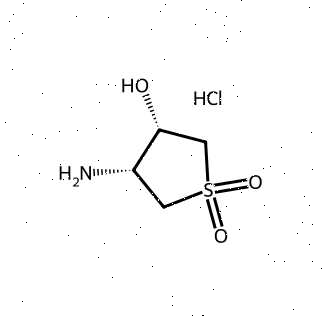 Cl.N[C@H]1CS(=O)(=O)C[C@H]1O